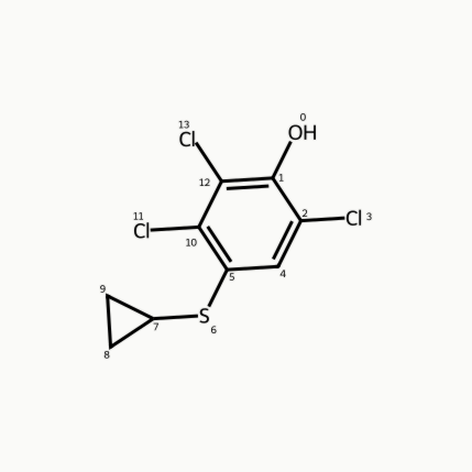 Oc1c(Cl)cc(SC2CC2)c(Cl)c1Cl